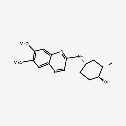 COc1cc2ncc(N[C@H]3CC[C@H](O)[C@@H](C)C3)nc2cc1OC